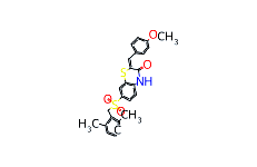 COc1ccc(/C=C2/Sc3cc(S(=O)(=O)Cc4c(C)cccc4C)ccc3NC2=O)cc1